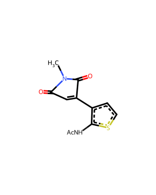 CC(=O)Nc1sccc1C1=CC(=O)N(C)C1=O